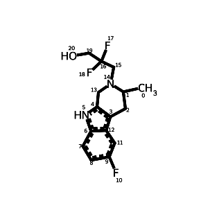 CC1Cc2c([nH]c3ccc(F)cc23)CN1CC(F)(F)CO